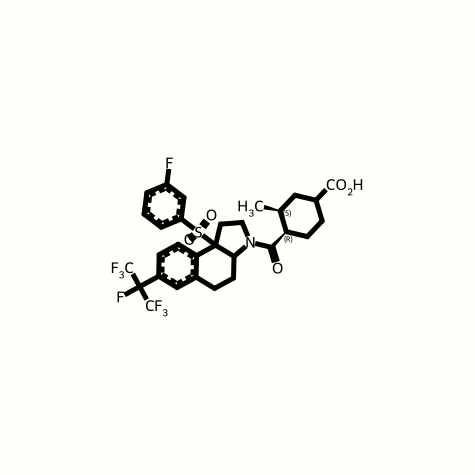 C[C@H]1CC(C(=O)O)CC[C@H]1C(=O)N1CCC2(S(=O)(=O)c3cccc(F)c3)c3ccc(C(F)(C(F)(F)F)C(F)(F)F)cc3CCC12